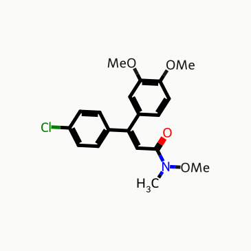 COc1ccc(/C(=C\C(=O)N(C)OC)c2ccc(Cl)cc2)cc1OC